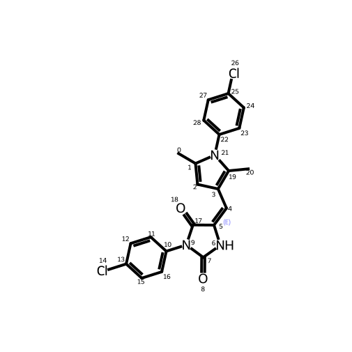 Cc1cc(/C=C2/NC(=O)N(c3ccc(Cl)cc3)C2=O)c(C)n1-c1ccc(Cl)cc1